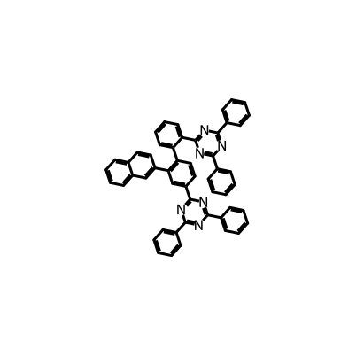 c1ccc(-c2nc(-c3ccccc3)nc(-c3ccc(-c4ccccc4-c4nc(-c5ccccc5)nc(-c5ccccc5)n4)c(-c4ccc5ccccc5c4)c3)n2)cc1